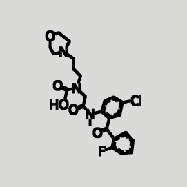 CN(C(=O)CN(CCCN1CCOCC1)C(=O)O)c1ccc(Cl)cc1C(=O)c1ccccc1F